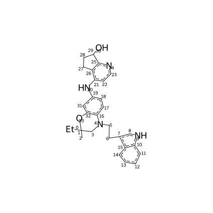 CCC1(C)CN(CCc2c[nH]c3ccccc23)c2ccc(Nc3ccnc4c3CCC4O)cc2O1